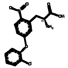 N[C@@H](Cc1cc(Oc2ccccc2Cl)ccc1[N+](=O)[O-])C(=O)O